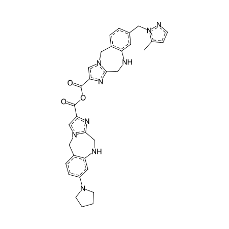 Cc1ccnn1Cc1ccc2c(c1)NCc1nc(C(=O)OC(=O)c3cn4c(n3)CNc3cc(N5CCCC5)ccc3C4)cn1C2